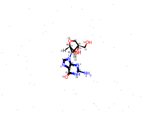 Nc1nc2c(ncn2[C@@H]2O[C@@]3(CO)CO[C@@H]2[C@@H]3O)c(=O)[nH]1